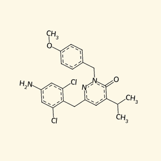 COc1ccc(Cn2nc(Cc3c(Cl)cc(N)cc3Cl)cc(C(C)C)c2=O)cc1